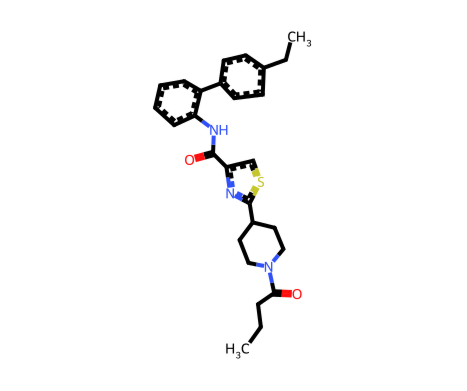 CCCC(=O)N1CCC(c2nc(C(=O)Nc3ccccc3-c3ccc(CC)cc3)cs2)CC1